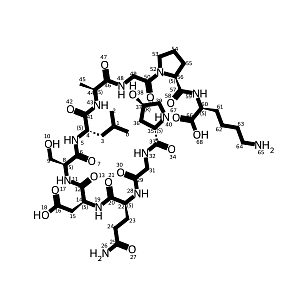 CC(C)C[C@H](NC(=O)[C@H](CO)NC(=O)[C@H](CC(=O)O)NC(=O)[C@H](CCC(N)=O)NC(=O)CNC(=O)[C@@H]1C[C@@H](O)CN1)C(=O)N[C@@H](C)C(=O)NCC(=O)N1CCC[C@H]1C(=O)N[C@@H](CCCCN)C(=O)O